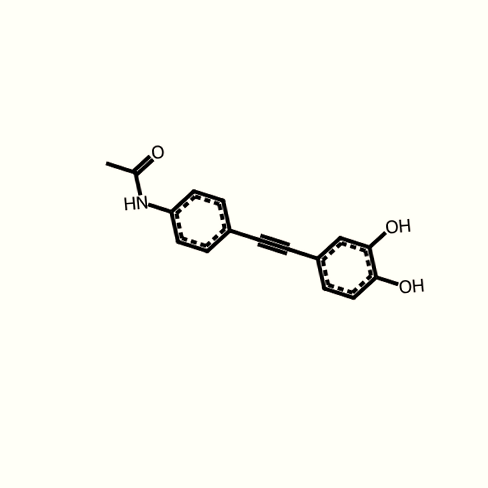 CC(=O)Nc1ccc(C#Cc2ccc(O)c(O)c2)cc1